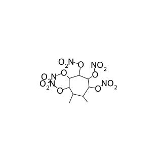 CC1C(C)C(O[N+](=O)[O-])C(O[N+](=O)[O-])C(O[N+](=O)[O-])C(O[N+](=O)[O-])C1O[N+](=O)[O-]